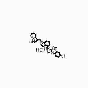 Cl.O=C(Nc1ccc(Cl)cc1F)Nc1cccc2c1ccn2Cc1c[nH]c2ncccc12